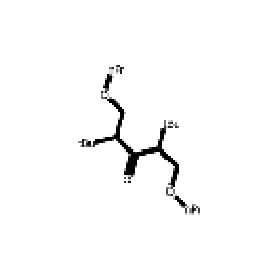 CCCOCC(C(=O)C(COCCC)C(C)(C)C)C(C)(C)C